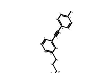 Cc1ccc(C#Cc2cccc(CCCN)c2)cc1